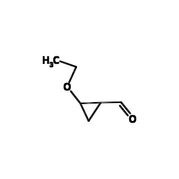 CCOC1CC1C=O